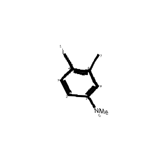 CNc1ccc(I)c(C)c1